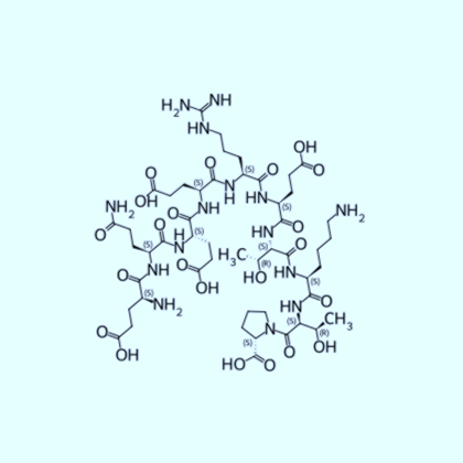 C[C@@H](O)[C@H](NC(=O)[C@H](CCC(=O)O)NC(=O)[C@H](CCCNC(=N)N)NC(=O)[C@H](CCC(=O)O)NC(=O)[C@H](CCC(=O)O)NC(=O)[C@H](CCC(N)=O)NC(=O)[C@@H](N)CCC(=O)O)C(=O)N[C@@H](CCCCN)C(=O)N[C@H](C(=O)N1CCC[C@H]1C(=O)O)[C@@H](C)O